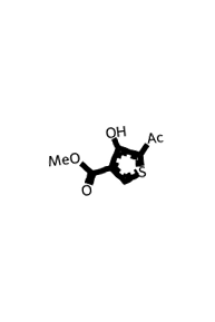 COC(=O)c1csc(C(C)=O)c1O